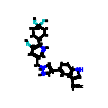 CC(=O)Nc1c[nH]c2ccc(-c3cnn(Cc4cnc(C5CCC(F)(F)CC5)c(F)c4)c3)cc12